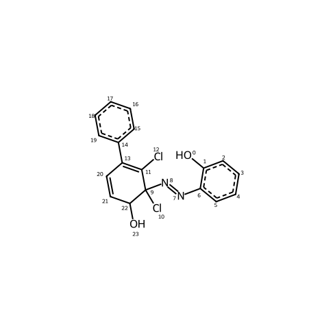 Oc1ccccc1N=NC1(Cl)C(Cl)=C(c2ccccc2)C=CC1O